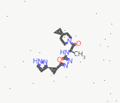 C[C@@H](Nc1nnc(C2C[C@@H]2c2cc[nH]n2)o1)C(=O)N1CCC2(CC1)CC2